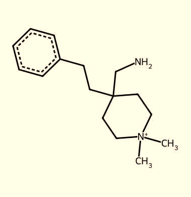 C[N+]1(C)CCC(CN)(CCc2ccccc2)CC1